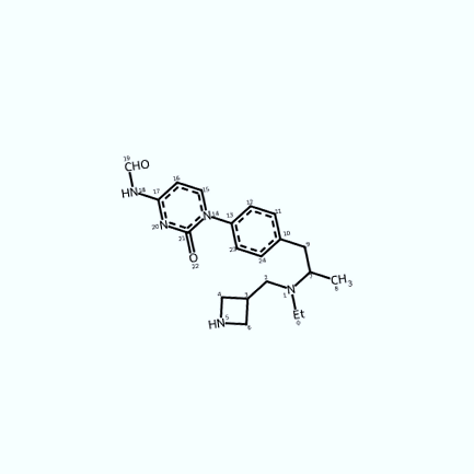 CCN(CC1CNC1)C(C)Cc1ccc(-n2ccc(NC=O)nc2=O)cc1